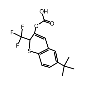 CC(C)(C)c1ccc2c(c1)C=C(OC(=O)O)C(C(F)(F)F)S2